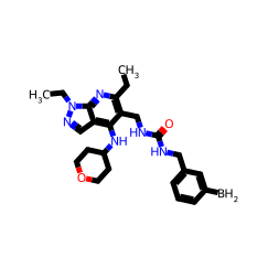 Bc1cccc(CNC(=O)NCc2c(CC)nc3c(cnn3CC)c2NC2CCOCC2)c1